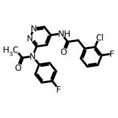 CC(=O)N(c1ccc(F)cc1)c1cc(NC(=O)Cc2cccc(F)c2Cl)cnn1